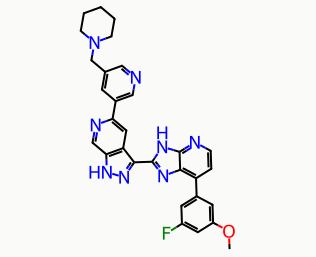 COc1cc(F)cc(-c2ccnc3[nH]c(-c4n[nH]c5cnc(-c6cncc(CN7CCCCC7)c6)cc45)nc23)c1